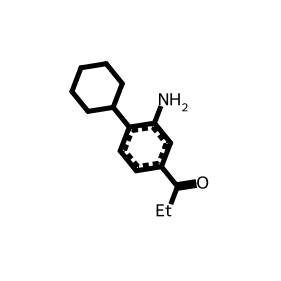 CCC(=O)c1ccc(C2CCCCC2)c(N)c1